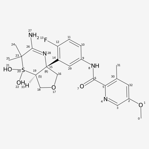 COc1cnc(C(=O)Nc2ccc(F)c([C@@]34COC[C@H]3S(O)(O)C(C)(C)C(N)=N4)c2)c(C)c1